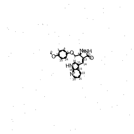 COc1ccc(OCC2=NNC(=O)C2=Cc2c[nH]c3ncccc23)cc1